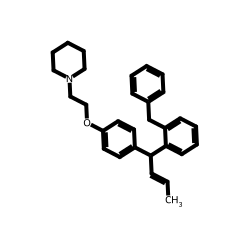 CC=CC(c1ccc(OCCN2CCCCC2)cc1)c1ccccc1Cc1ccccc1